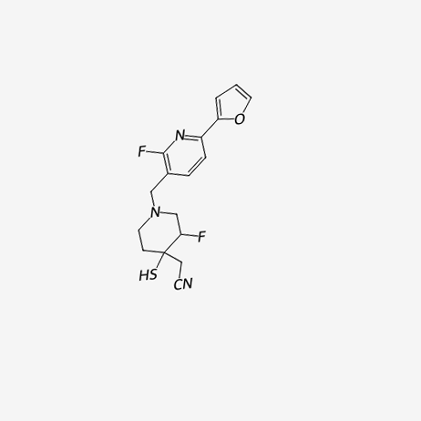 N#CCC1(S)CCN(Cc2ccc(-c3ccco3)nc2F)CC1F